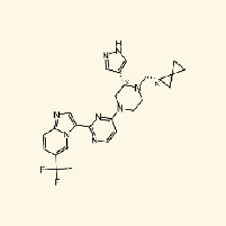 FC(F)(F)c1ccc2ncc(-c3nccc(N4CCN(C[C@H]5CC56CC6)[C@@H](c5cn[nH]c5)C4)n3)n2c1